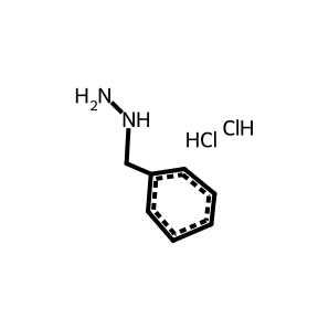 Cl.Cl.NNCc1ccccc1